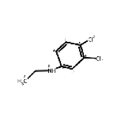 CCNc1ccc(Cl)c(Cl)c1